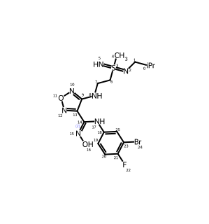 CC(C)CN=S(C)(=N)CCNc1nonc1/C(=N/O)Nc1ccc(F)c(Br)c1